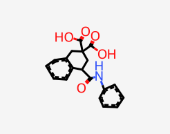 O=C(Nc1ccccc1)C1CC(C(=O)O)(C(=O)O)Cc2ccccc21